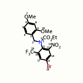 CCOC(=O)N(Cc1ccc(OC)cc1OC)c1c([N+](=O)[O-])cc(Br)cc1C(F)(F)F